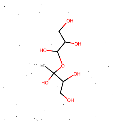 CCC(O)(OC(O)C(O)CO)C(O)CO